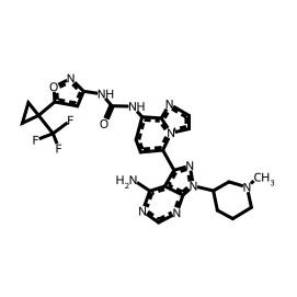 CN1CCCC(n2nc(-c3ccc(NC(=O)Nc4cc(C5(C(F)(F)F)CC5)on4)c4nccn34)c3c(N)ncnc32)C1